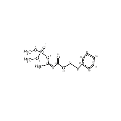 COP(=O)(OC)OC(C)=CC(=O)OCCc1ccccc1